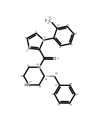 O=C(c1nccn1-c1ccccc1C(F)(F)F)N1CCNC[C@H]1Cc1ccccc1